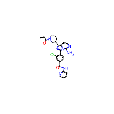 C=CC(=O)N1CCCC(c2nc(-c3ccc(C(=O)Nc4ccccn4)cc3Cl)n3c(N)nccc23)C1